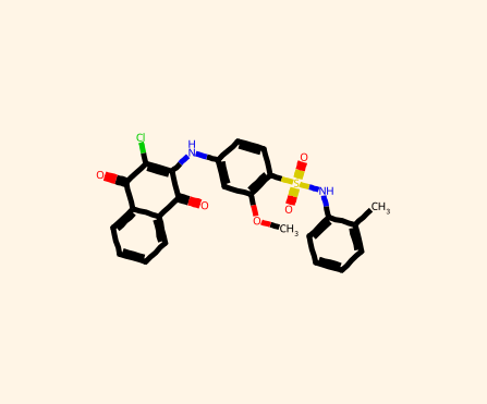 COc1cc(NC2=C(Cl)C(=O)c3ccccc3C2=O)ccc1S(=O)(=O)Nc1ccccc1C